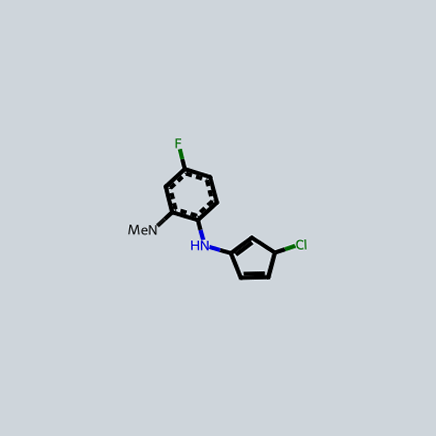 CNc1cc(F)ccc1NC1=CC(Cl)C=C1